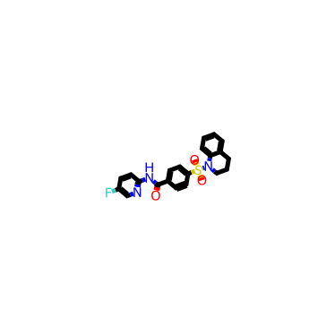 O=C(Nc1ccc(F)cn1)c1c#cc(S(=O)(=O)N2CCCc3ccccc32)cc1